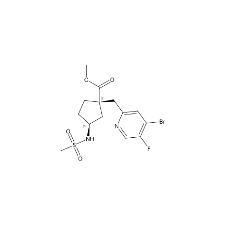 COC(=O)[C@@]1(Cc2cc(Br)c(F)cn2)CC[C@H](NS(C)(=O)=O)C1